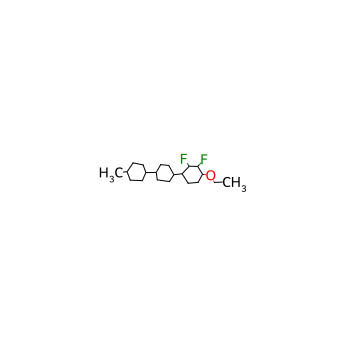 CCOC1CCC(C2CCC(C3CCC(C)CC3)CC2)C(F)C1F